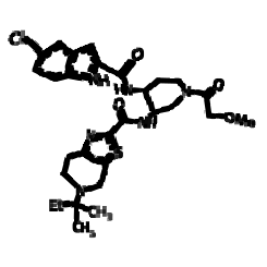 CCC(C)(C)N1CCc2nc(C(=O)N[C@@H]3CN(C(=O)COC)CC[C@@H]3NC(=O)c3cc4cc(Cl)ccc4[nH]3)sc2C1